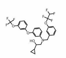 OC(CN(Cc1cccc(OC(F)(F)C(F)F)c1)c1cccc(Oc2cccc(OC(F)(F)F)c2)c1)C1CC1